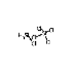 Cl[Si](Cl)(Cl)Cl.[SiH3]Cl